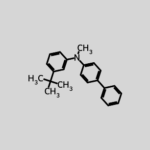 CN(c1ccc(-c2ccccc2)cc1)c1cccc(C(C)(C)C)c1